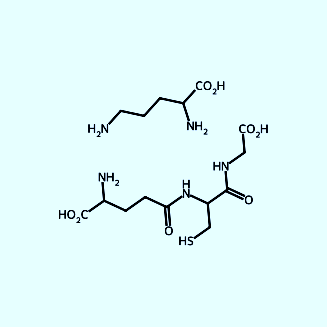 NC(CCC(=O)NC(CS)C(=O)NCC(=O)O)C(=O)O.NCCCC(N)C(=O)O